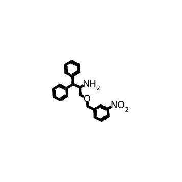 NC(COCc1cccc([N+](=O)[O-])c1)C(c1ccccc1)c1ccccc1